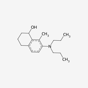 CCCN(CCC)c1ccc2c(c1C)C(O)CCC2